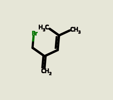 C=C(C=C(C)C)CBr